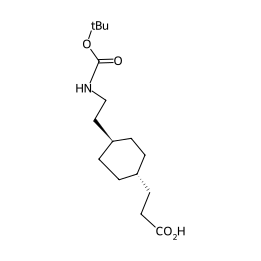 CC(C)(C)OC(=O)NCC[C@H]1CC[C@H](CCC(=O)O)CC1